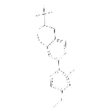 CCc1ccc(-c2ccc3c(c2)COC(C(F)(F)F)C3)c(F)c1